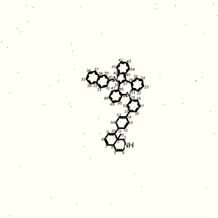 CC12CNC=CC1C=CC=C2C1C=CC(c2cccc(N3c4ccccc4-c4c(n(-c5ccc6ccccc6c5)c5ccccc45)-c4ccccc43)c2)=CC1